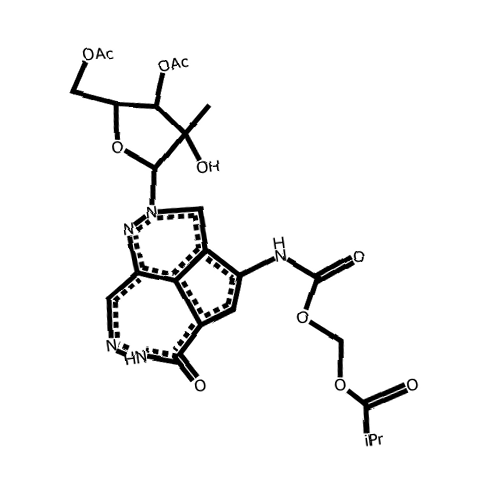 CC(=O)OCC1OC(n2cc3c(NC(=O)OCOC(=O)C(C)C)cc4c(=O)[nH]ncc(n2)c34)C(C)(O)C1OC(C)=O